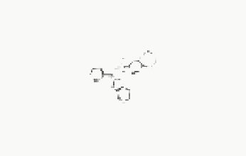 O=S(=O)(N[C@H](c1ccccc1)c1cc2cnccc2s1)c1ccc2c(c1)OCCCO2